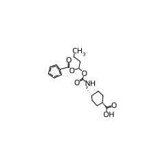 CCCC(OC(=O)NC[C@H]1CC[C@H](C(=O)O)CC1)OC(=O)c1ccccc1